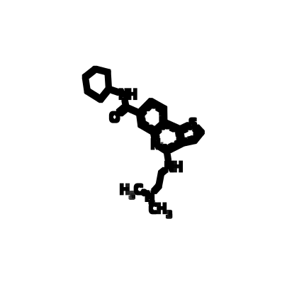 CN(C)CCNc1nc2cc(C(=O)NC3CCCCC3)ccc2c2sccc12